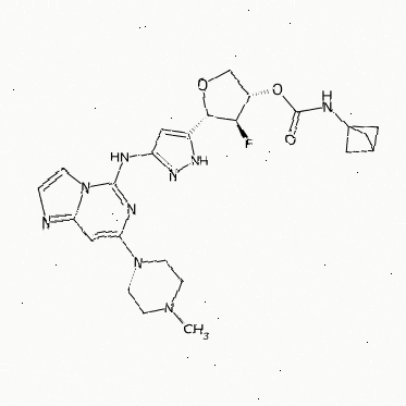 CN1CCN(c2cc3nccn3c(Nc3cc([C@@H]4OC[C@H](OC(=O)NC56CC(C5)C6)[C@H]4F)[nH]n3)n2)CC1